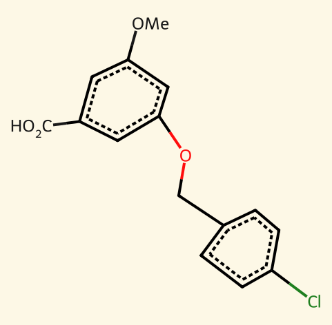 COc1cc(OCc2ccc(Cl)cc2)cc(C(=O)O)c1